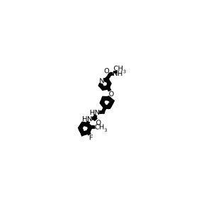 CNC(=O)c1cc(Oc2ccc(CNC(=O)Nc3cccc(F)c3C)cc2)ccn1